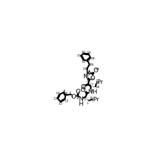 CC(C)C[C@H](NC(=O)OCc1ccccc1)C(=O)N[C@@H](CC(C)C)C(=O)c1nn(CCc2ccccc2)c(=O)o1